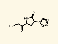 COC(=O)C1CC(n2cnnn2)C(=O)N1